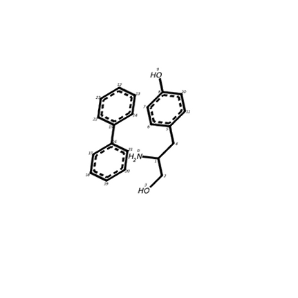 NC(CO)Cc1ccc(O)cc1.c1ccc(-c2ccccc2)cc1